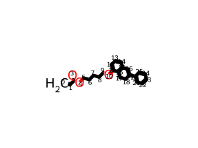 C=CC(=O)OCCCCCOc1cccc2c1CCC(c1ccccc1)=C2